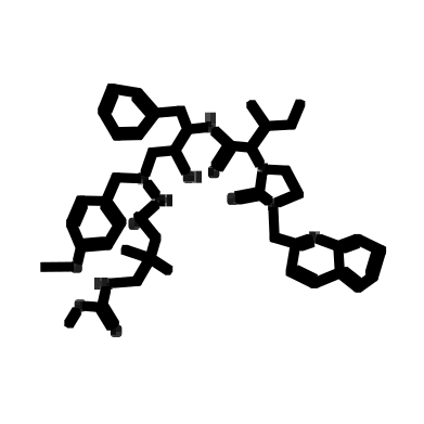 CCC(C)C(C(=O)NC(Cc1ccccc1)C(O)CN(Cc1ccc(OC)cc1)NC(=O)CC(C)(C)CNC(=O)OC)N1CCN(Cc2ccc3ccccc3n2)C1=O